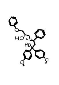 COc1ccc(C(O)(CC(NC[C@H](O)COc2ccccc2)c2ccccc2)c2ccc(OC)cc2)cc1